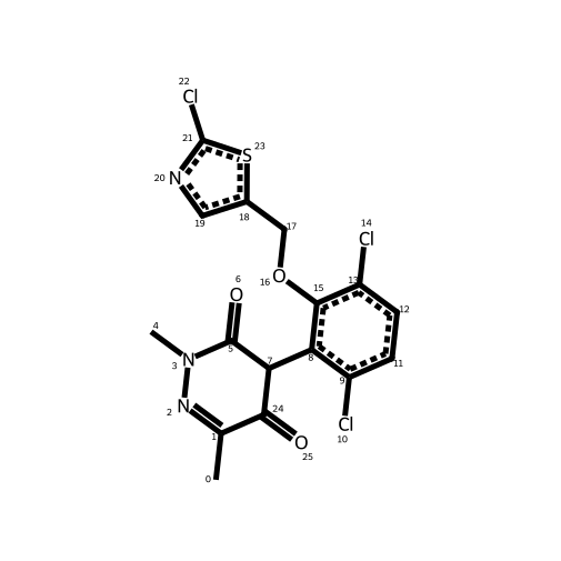 CC1=NN(C)C(=O)C(c2c(Cl)ccc(Cl)c2OCc2cnc(Cl)s2)C1=O